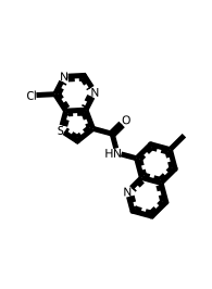 Cc1cc(NC(=O)c2csc3c(Cl)ncnc23)c2ncccc2c1